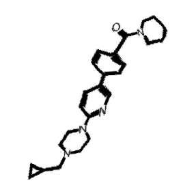 O=C(c1ccc(-c2ccc(N3CCN(CC4CC4)CC3)nc2)cc1)N1CCCCC1